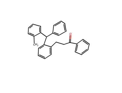 Cc1ccccc1C(c1ccccc1)c1ccccc1CCC(=O)c1ccccc1